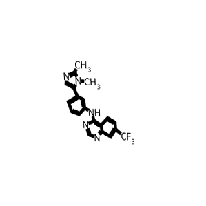 Cc1ncc(-c2cccc(Nc3ncnc4cc(C(F)(F)F)ccc34)c2)n1C